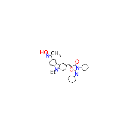 CCn1c2ccc(/C=C3\O/C(=N\C4CCCCC4)N(C4CCCCC4)C3=O)cc2c2cc(/C(C)=N/O)ccc21